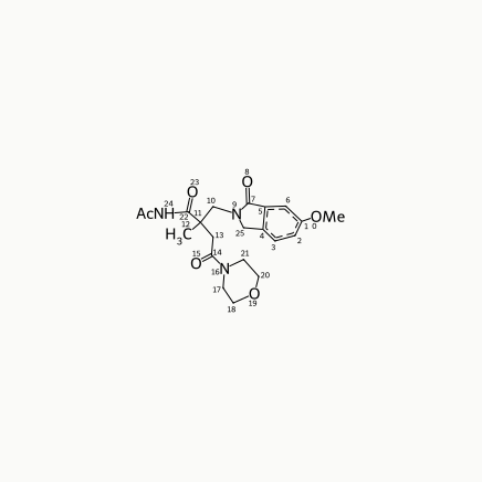 COc1ccc2c(c1)C(=O)N(CC(C)(CC(=O)N1CCOCC1)C(=O)NC(C)=O)C2